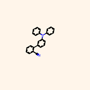 N#Cc1ccccc1-c1cccc(N(c2ccccc2)c2ccccc2)c1